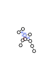 c1ccc(-c2ccc(-c3ccc4c(c3)c3ccccc3n4-c3ccccc3-c3nc(-c4ccc(-c5ccccc5)cc4)nc(-n4c5ccccc5c5ccccc54)n3)cc2)cc1